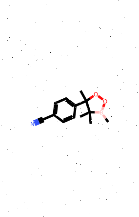 CB1OOC(C)(c2ccc(C#N)cc2)C1(C)C